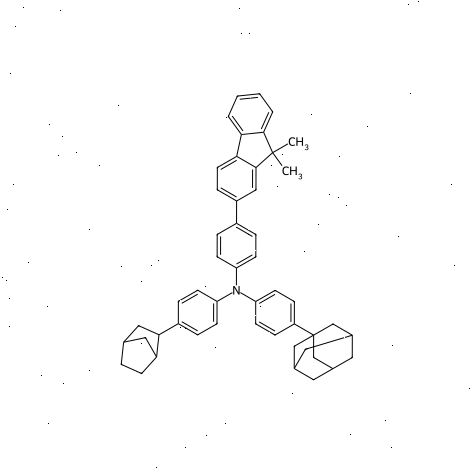 CC1(C)c2ccccc2-c2ccc(-c3ccc(N(c4ccc(C5CC6CCC5C6)cc4)c4ccc(C56CC7CC(CC(C7)C5)C6)cc4)cc3)cc21